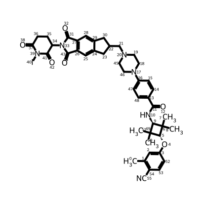 Cc1cc(O[C@H]2C(C)(C)[C@H](NC(=O)c3ccc(N4CCN(CC5Cc6cc7c(cc6C5)C(=O)N(C5CCC(=O)N(I)C5=O)C7=O)CC4)cc3)C2(C)C)ccc1C#N